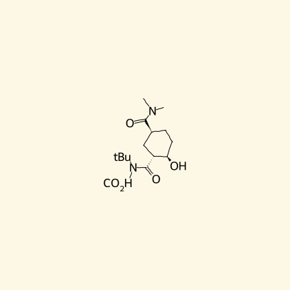 CN(C)C(=O)[C@H]1CC[C@@H](O)[C@H](C(=O)N(C(=O)O)C(C)(C)C)C1